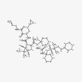 C=CCNC(=O)C(=O)C(CCC1CC1)NC(=O)[C@@H]1[C@@H]2[C@H](CN1C(=O)[C@@H](NC(=O)NC1(CS(=O)(=O)C(C)(C)COC3CCCCO3)CCCCC1)C1(C)CCCCC1)C2(C)C